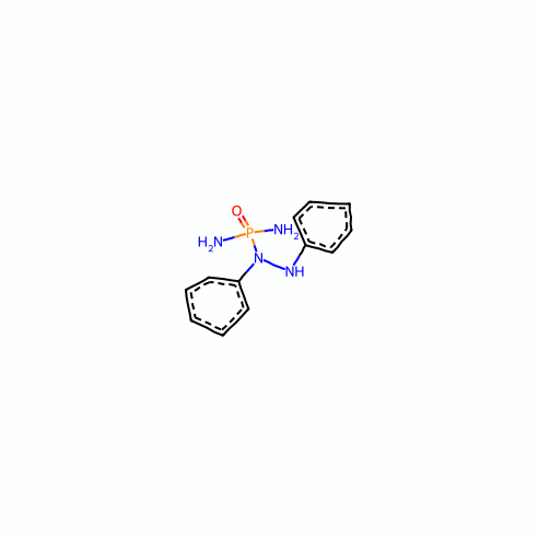 NP(N)(=O)N(Nc1ccccc1)c1ccccc1